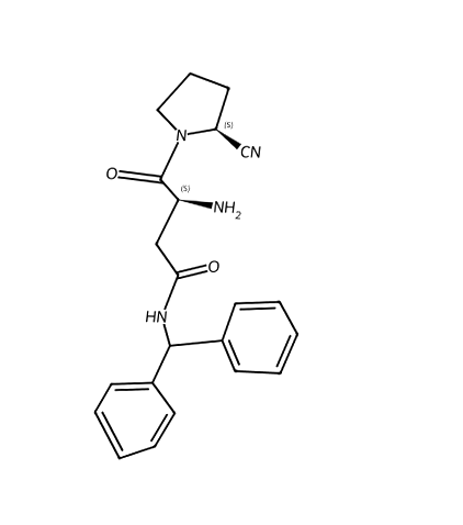 N#C[C@@H]1CCCN1C(=O)[C@@H](N)CC(=O)NC(c1ccccc1)c1ccccc1